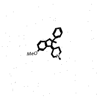 COc1ccc2c(c1)C(=C1CCN(C)CC1)C(C)(c1ccccc1)C2